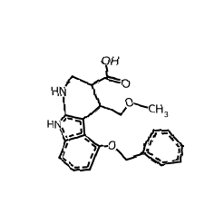 COCC1c2c([nH]c3cccc(OCc4ccccc4)c23)NCC1C(=O)O